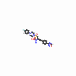 O=S(=O)(CC(C#Cc1ccc(-c2ncon2)cc1)NO)N1CCN(c2ccc(F)cc2)CC1